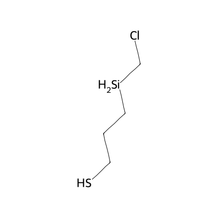 SCCC[SiH2]CCl